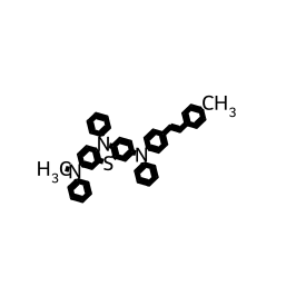 Cc1ccc(/C=C/c2ccc(N(c3ccccc3)c3ccc4c(c3)Sc3cc(N(C)c5ccccc5)ccc3N4c3ccccc3)cc2)cc1